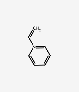 C=C[si]1ccccc1